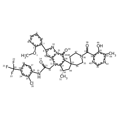 COc1ncccc1-c1nc2n(CC(=O)Nc3ccc(C(F)(F)F)cc3Cl)c3c(c(=O)n2n1)C1(CCN(C(=O)c2ncnc(C)c2O)CC1)C[C@@H]3C